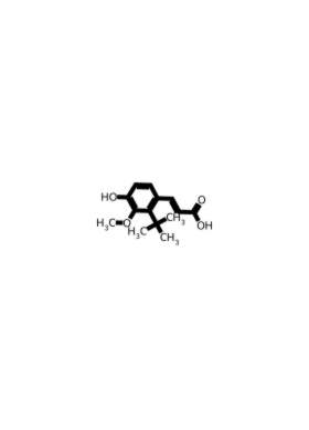 COc1c(O)ccc(C=CC(=O)O)c1C(C)(C)C